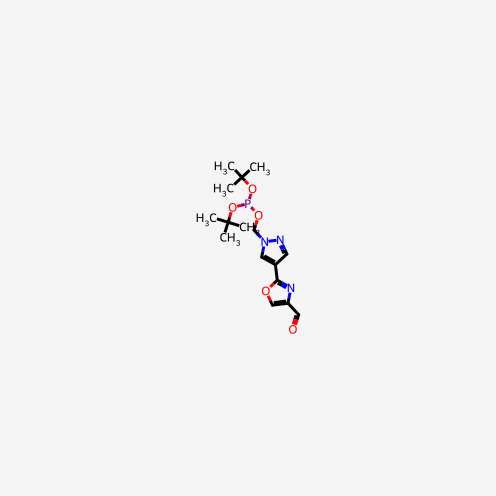 CC(C)(C)OP(OCn1cc(-c2nc(C=O)co2)cn1)OC(C)(C)C